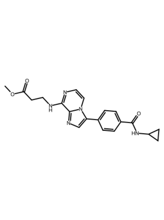 COC(=O)CCNc1nccn2c(-c3ccc(C(=O)NC4CC4)cc3)cnc12